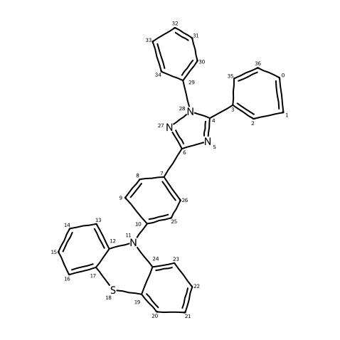 c1ccc(-c2nc(-c3ccc(N4c5ccccc5Sc5ccccc54)cc3)nn2-c2ccccc2)cc1